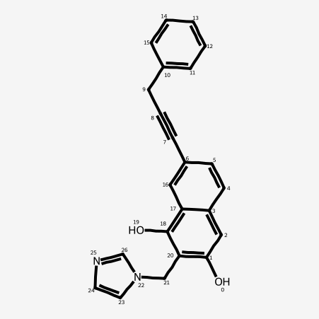 Oc1cc2ccc(C#CCc3ccccc3)cc2c(O)c1Cn1ccnc1